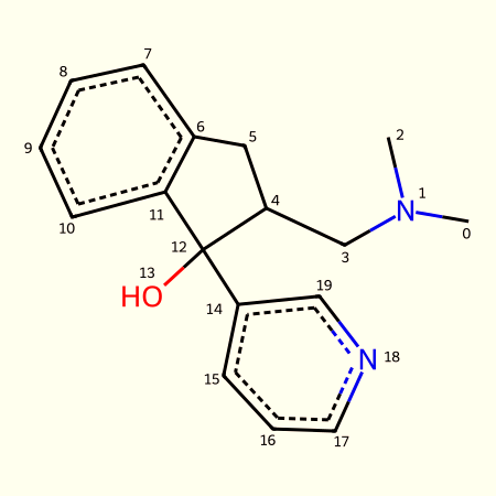 CN(C)CC1Cc2ccccc2C1(O)c1cccnc1